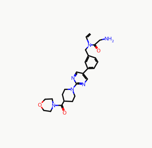 C=CN(Cc1cccc(-c2cnc(N3CCC(C(=O)N4CCOCC4)CC3)nc2)c1)C(=O)CN